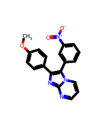 COc1ccc(-c2nc3ncccn3c2-c2cccc([N+](=O)[O-])c2)cc1